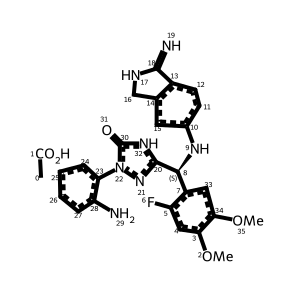 CC(=O)O.COc1cc(F)c([C@H](Nc2ccc3c(c2)CNC3=N)c2nn(-c3ccccc3N)c(=O)[nH]2)cc1OC